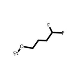 [CH2]COCCCC(F)F